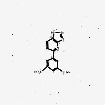 CC(=O)Nc1cc(C(=O)O)cc(-c2ccc3[nH]nnc3n2)c1